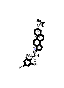 CC(C)c1cc(C(C)C)c(S(=O)(=O)N/N=C2\CCC3C4CC=C5C[C@@H](O[Si](C)(C)C(C)(C)C)CC[C@]5(C)C4CC[C@]23C)c(C(C)C)c1